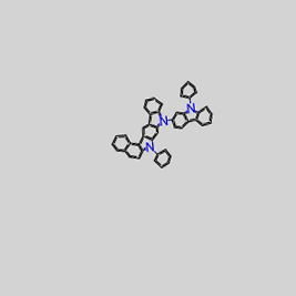 c1ccc(-n2c3ccccc3c3ccc(-n4c5ccccc5c5cc6c7c8ccccc8ccc7n(-c7ccccc7)c6cc54)cc32)cc1